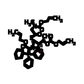 C=CCOC(=O)O[C@H](C)[C@H]1C(=O)N(C(C(=O)OCC=C)=P(c2ccccc2)(c2ccccc2)c2ccccc2)[C@@H]1SC(=O)CN(C)C(=O)OCC=C